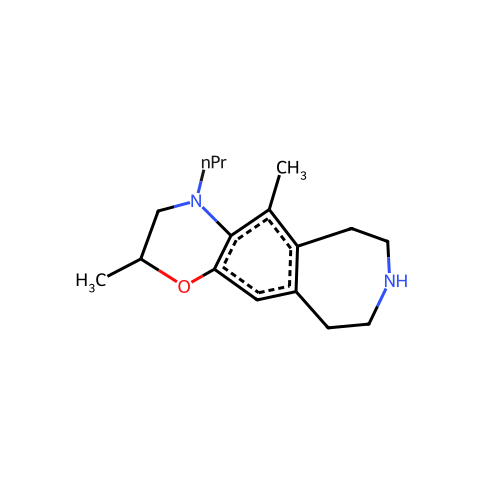 CCCN1CC(C)Oc2cc3c(c(C)c21)CCNCC3